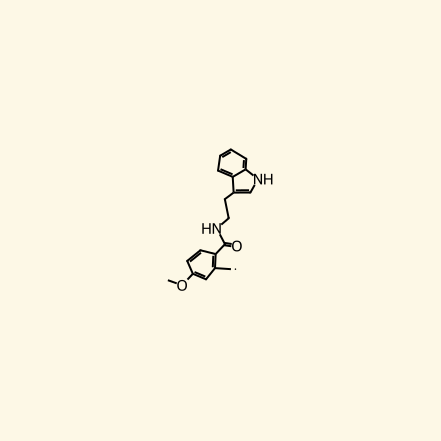 [CH2]c1cc(OC)ccc1C(=O)NCCc1c[nH]c2ccccc12